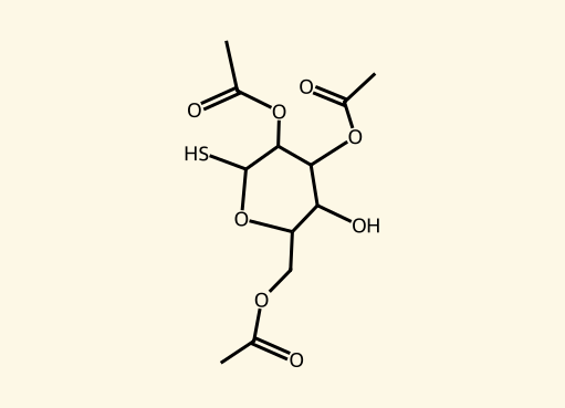 CC(=O)OCC1OC(S)C(OC(C)=O)C(OC(C)=O)C1O